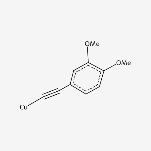 COc1ccc(C#[C][Cu])cc1OC